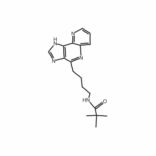 CC(C)(C)C(=O)NCCCCc1nc2cccnc2c2[nH]cnc12